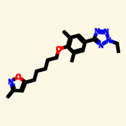 CCn1nnc(-c2cc(C)c(OCCCCCc3cc(C)no3)c(C)c2)n1